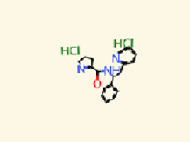 Cl.Cl.O=C(N[C@@H](Cc1ccccn1)c1ccccc1)C1=NCCC1